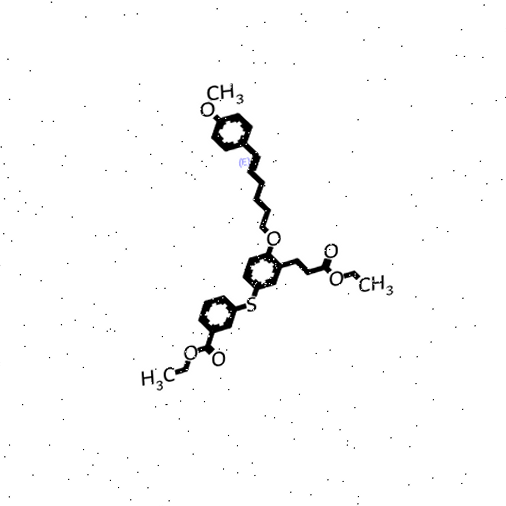 CCOC(=O)CCc1cc(Sc2cccc(C(=O)OCC)c2)ccc1OCCCC/C=C/c1ccc(OC)cc1